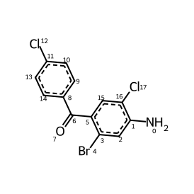 Nc1cc(Br)c(C(=O)c2ccc(Cl)cc2)cc1Cl